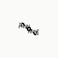 Fc1nccc(NCc2ccc(CNc3ccnc(F)n3)cc2)n1